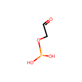 O=CCOP(O)O